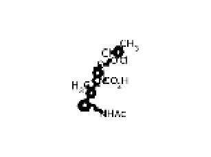 CC(=O)NCCCc1ccccc1-c1ccc(C(CNC(=O)O)Cc2ccc(OCCOc3c(Cl)cc(C)cc3Cl)cc2)c(C)c1